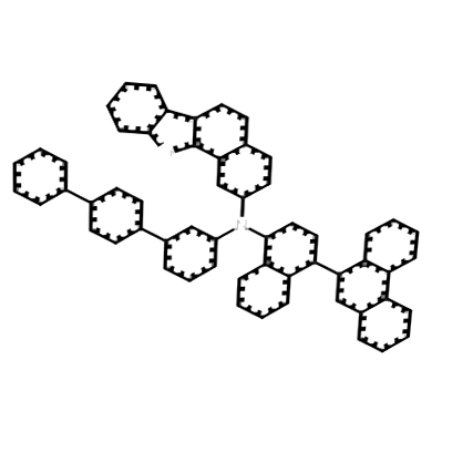 c1ccc(-c2ccc(-c3cccc(N(c4ccc5ccc6c7ccccc7oc6c5c4)c4ccc(-c5cc6ccccc6c6ccccc56)c5ccccc45)c3)cc2)cc1